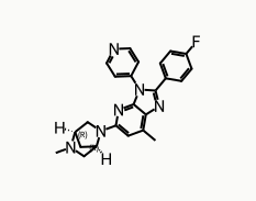 Cc1cc(N2C[C@H]3C[C@@H]2CN3C)nc2c1nc(-c1ccc(F)cc1)n2-c1ccncc1